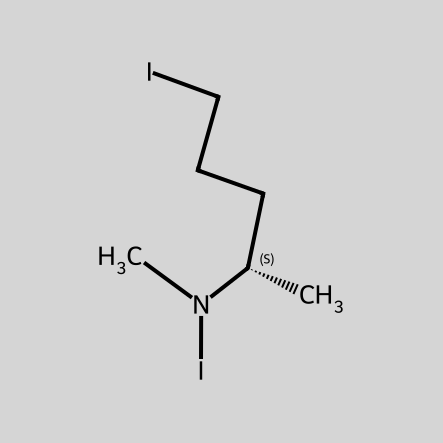 C[C@@H](CCCI)N(C)I